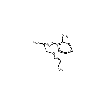 CCOC(=O)c1ccccc1C(=O)OCC.COCCOCCO